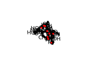 CNCCOc1ccc(CC(=O)NC(=O)C2NC(=O)[C@H](NC(=O)[C@@H](CC(C)C)NC)[C@H](O)c3ccc(c(C)c3)Oc3cc4cc(c3O[C@@H]3C[C@H](CO)[C@@H](O)[C@H](O)[C@H]3O[C@H]3C[C@](C)(N)[C@H](O)[C@H](C)O3)Oc3ccc(cc3Cl)[C@@H](O)[C@@H]3NC(=O)[C@H](NC(=O)[C@@H]4NC2=O)c2ccc(O)c(c2)-c2c(O)cc(O)cc2[C@@H](C(=O)NC2C4CC5CC(C4)CC2C5)NC3=O)cc1